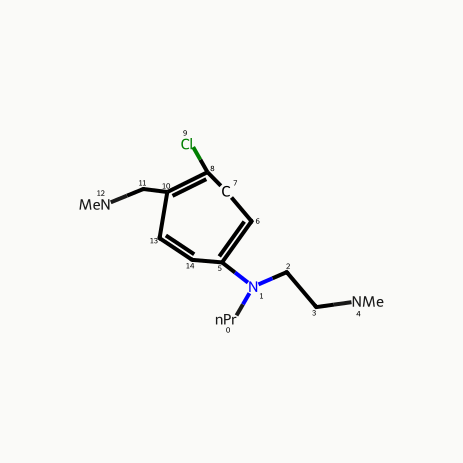 CCCN(CCNC)C1=CCC(Cl)=C(CNC)C=C1